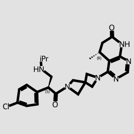 CC(C)NC[C@@H](C(=O)N1CC2(C1)CN(c1ncnc3c1[C@H](C)CC(=O)N3)C2)c1ccc(Cl)cc1